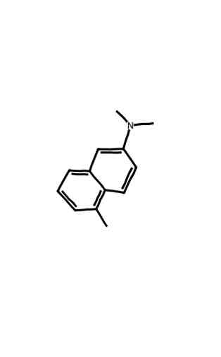 Cc1cccc2cc(N(C)C)ccc12